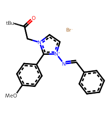 COc1ccc(-c2n(CC(=O)C(C)(C)C)cc[n+]2/N=C/c2ccccc2)cc1.[Br-]